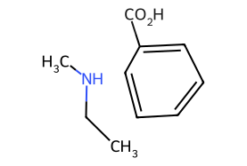 CCNC.O=C(O)c1ccccc1